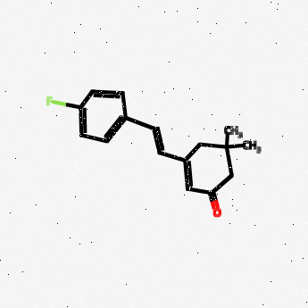 CC1(C)CC(=O)C=C(C=Cc2ccc(F)cc2)C1